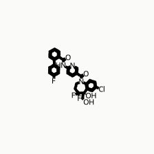 O=C(Nc1ccc(C(=O)N2CCC(F)(F)[C@](O)(CO)c3cc(Cl)ccc32)cn1)c1ccccc1-c1ccc(F)cc1